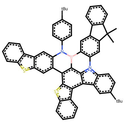 CC(C)(C)c1ccc(N2B3c4cc5c(cc4-n4c6ccc(C(C)(C)C)cc6c6c7c(sc8ccccc87)c(c3c64)-c3cc4sc6ccccc6c4cc32)C(C)(C)c2ccccc2-5)cc1